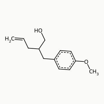 C=CCC(CO)Cc1ccc(OC)cc1